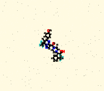 COc1ccc(-c2nc3c(C(=O)N4CCN(C(CO)c5ccccc5C(F)(F)F)C[C@H]4C)cnn3c(C(F)(F)F)c2C)cc1